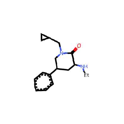 CCNC1CC(c2ccccc2)CN(CC2CC2)C1=O